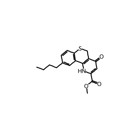 CCCCc1ccc2c(c1)-c1[nH]c(C(=O)OC)cc(=O)c1CS2